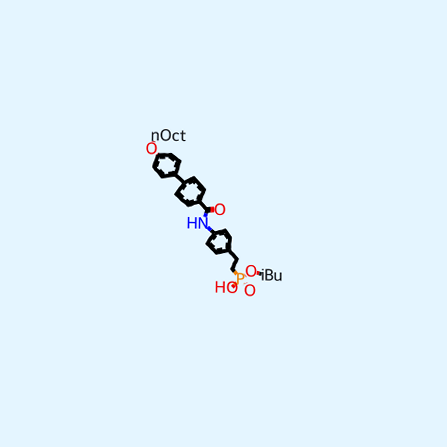 CCCCCCCCOc1ccc(-c2ccc(C(=O)Nc3ccc(CCP(=O)(O)OC(C)CC)cc3)cc2)cc1